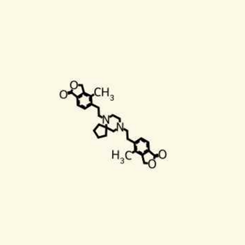 Cc1c(CCN2CCN(CCc3ccc4c(c3C)COC4=O)C3(CCCC3)C2)ccc2c1COC2=O